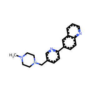 CN1CCN(Cc2ccc(-c3ccc4ncccc4c3)nc2)CC1